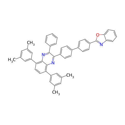 Cc1cc(C)cc(-c2ccc(-c3cc(C)cc(C)c3)c3nc(-c4ccc(-c5ccc(-c6nc7ccccc7o6)cc5)cc4)c(-c4ccccc4)nc23)c1